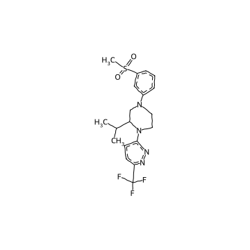 CC(C)C1CN(c2cccc(S(C)(=O)=O)c2)CCN1c1ccc(C(F)(F)F)nn1